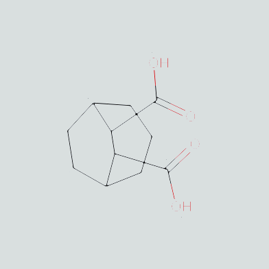 O=C(O)C1C2CCCC(CC2)C1C(=O)O